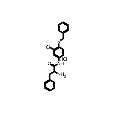 Cl.NC(Cc1ccccc1)C(=O)Nc1ccc(SCc2ccccc2)c(Cl)c1